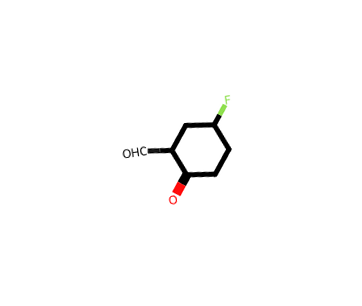 O=CC1CC(F)CCC1=O